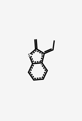 C=c1sc2ccccc2/c1=C/C